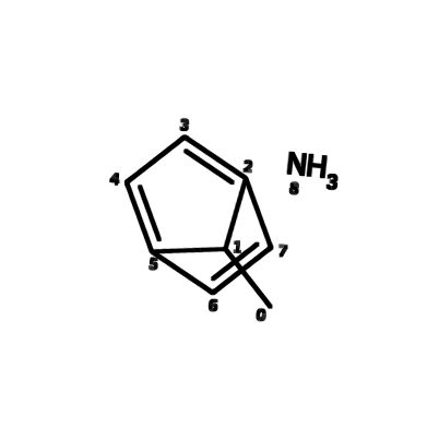 CC1C2=CC=C1C=C2.N